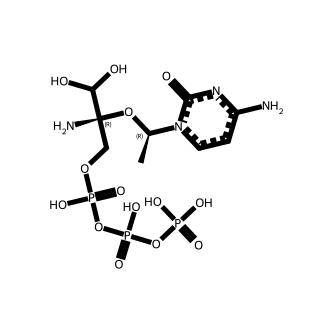 C[C@@H](O[C@](N)(COP(=O)(O)OP(=O)(O)OP(=O)(O)O)C(O)O)n1ccc(N)nc1=O